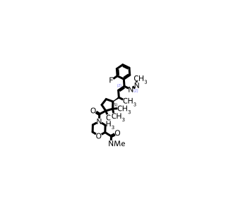 C/N=N\C(=C/C(C)[C@@H]1CCC(C)(C(=O)N2CCOC(C(=O)NC)C2)C1(C)C)c1ccccc1F